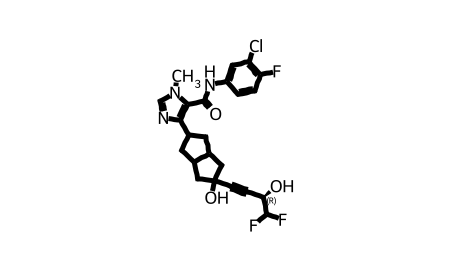 Cn1cnc(C2CC3CC(O)(C#C[C@@H](O)C(F)F)CC3C2)c1C(=O)Nc1ccc(F)c(Cl)c1